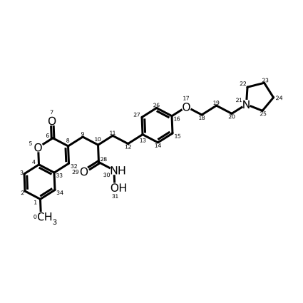 Cc1ccc2oc(=O)c(CC(CCc3ccc(OCCCN4CCCC4)cc3)C(=O)NO)cc2c1